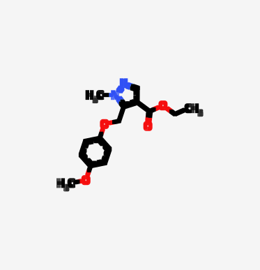 CCOC(=O)c1cnn(C)c1COc1ccc(OC)cc1